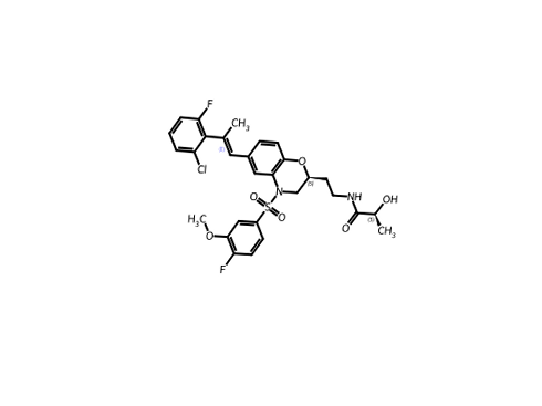 COc1cc(S(=O)(=O)N2C[C@H](CCNC(=O)[C@H](C)O)Oc3ccc(/C=C(\C)c4c(F)cccc4Cl)cc32)ccc1F